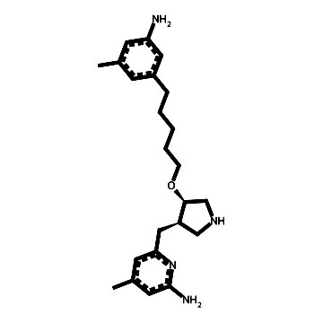 Cc1cc(N)cc(CCCCCO[C@H]2CNC[C@H]2Cc2cc(C)cc(N)n2)c1